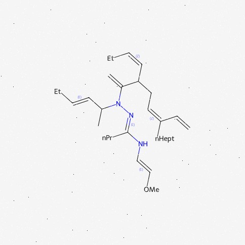 C=C/C(=C\CC(/C=C\CC)C(=C)N(/N=C(\CCC)N/C=C/OC)C(C)/C=C/CC)CCCCCCC